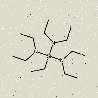 CCN(CC)[Si](CC)(N(CC)CC)N(CC)CC